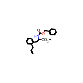 C=CCc1ccccc1CC(NC(=O)OCc1ccccc1)C(=O)O